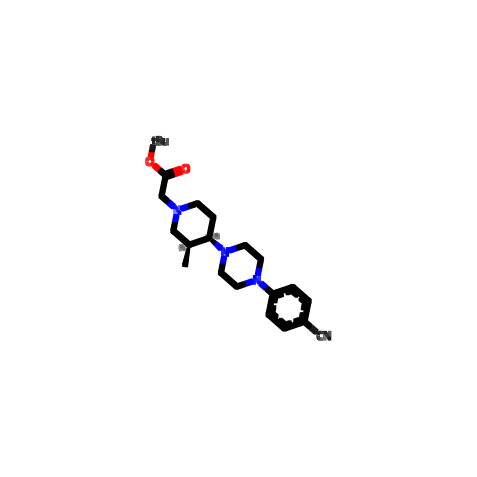 C[C@H]1CN(CC(=O)OC(C)(C)C)CC[C@H]1N1CCN(c2ccc(C#N)cc2)CC1